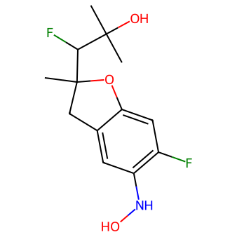 CC(C)(O)C(F)C1(C)Cc2cc(NO)c(F)cc2O1